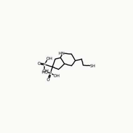 O=P(O)(O)C1(P(=O)(O)O)CC2CC(CCS)CNC2C1